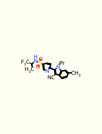 Cc1ccc2c(C#N)c(-c3ccc(S(=O)(=O)N[C@@H](C)C(F)(F)F)cn3)n(C(C)C)c2c1